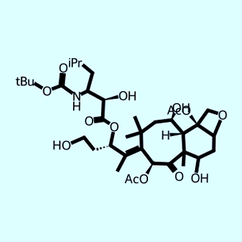 CC(=O)O[C@@H]1C(=O)C2(C)C(O)CC3OC[C@@]3(OC(C)=O)[C@H]2[C@H](O)CC(C)(C)/C1=C(/C)[C@H](CCO)OC(=O)[C@H](O)C(CC(C)C)NC(=O)OC(C)(C)C